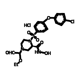 CCOC(C=O)N1CCN(S(=O)(=O)c2ccc(Oc3ccc(Cl)cc3)cc2)[C@@H](C(=O)NO)C1.Cl